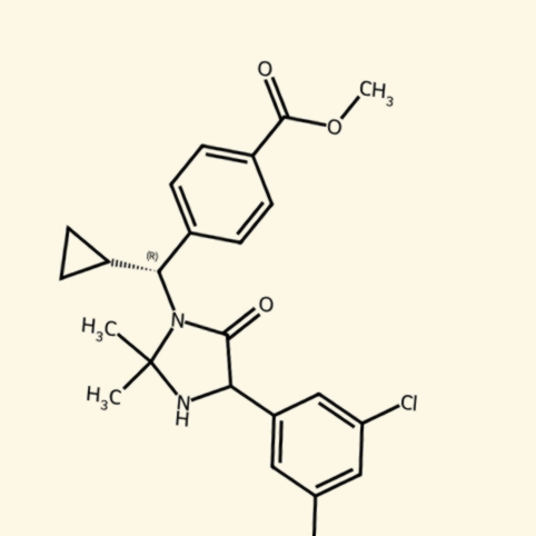 COC(=O)c1ccc([C@@H](C2CC2)N2C(=O)C(c3cc(Cl)cc(Cl)c3)NC2(C)C)cc1